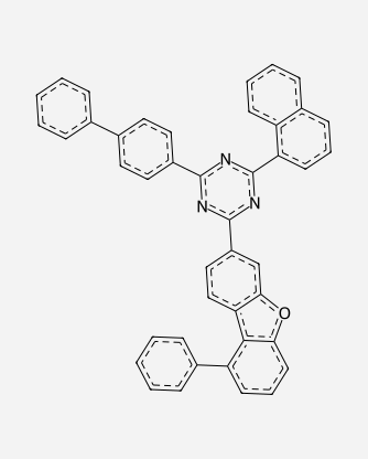 c1ccc(-c2ccc(-c3nc(-c4ccc5c(c4)oc4cccc(-c6ccccc6)c45)nc(-c4cccc5ccccc45)n3)cc2)cc1